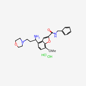 COc1ccc(C(N)CCN2CCOCC2)c2cc(C(=O)NCc3ccccc3)oc12.Cl.Cl